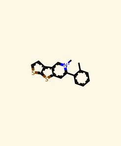 Cc1ccccc1-c1cc2sc3sccc3c2c[n+]1C